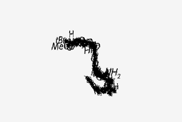 COC(=O)[C@H](CCC(C)(C)C)NC(=O)c1ccc(Oc2cccc(OC3CN(C(=O)NCCCOCCOCc4cn(CC(=O)N(CCCn5nccc5C(=O)N[C@H](C(=O)Nc5ccc(-c6c(C)nn(COCC[Si](C)(C)C)c6C)cc5)C(C5CC5)C5CC5)CC(N)=O)nn4)C3)c2)nc1